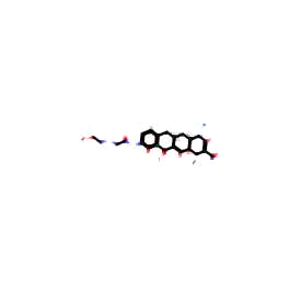 COCCNCC(=O)Nc1cc(F)c2c(c1O)C(=O)C1=C(O)[C@]3(OC)CC(C(N)=O)=C(O)[C@@H](N(C)C)[C@@H]3C[C@@H]1C2